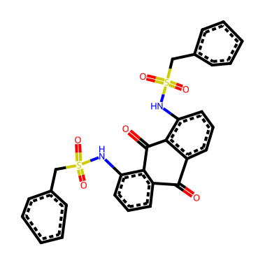 O=C1c2cccc(NS(=O)(=O)Cc3ccccc3)c2C(=O)c2c(NS(=O)(=O)Cc3ccccc3)cccc21